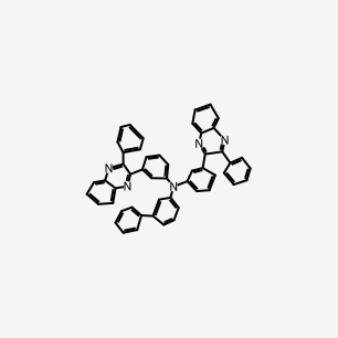 c1ccc(-c2cccc(N(c3cccc(-c4nc5ccccc5nc4-c4ccccc4)c3)c3cccc(-c4nc5ccccc5nc4-c4ccccc4)c3)c2)cc1